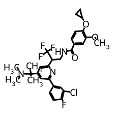 COc1cc(C(=O)NCC(c2cc(C(C)(C)N(C)C)cc(-c3ccc(F)c(Cl)c3)n2)C(F)(F)F)ccc1OC1CC1